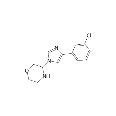 Clc1cccc(-c2cn(C3COCCN3)cn2)c1